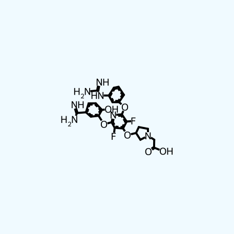 N=C(N)Nc1cccc(Oc2nc(Oc3cc(C(=N)N)ccc3O)c(F)c(OC3CCN(CC(=O)O)C3)c2F)c1